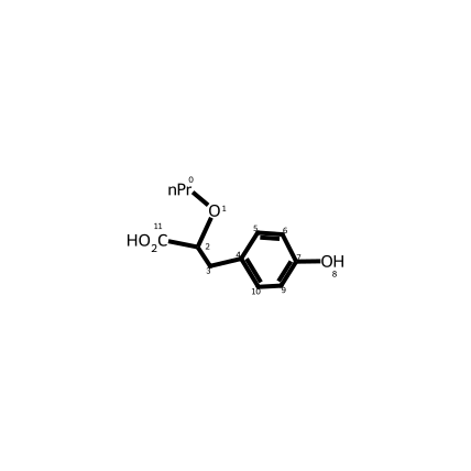 CCCOC(Cc1ccc(O)cc1)C(=O)O